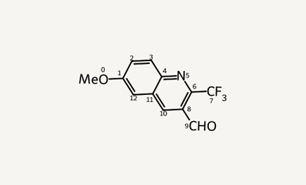 COc1ccc2nc(C(F)(F)F)c(C=O)cc2c1